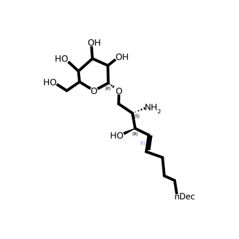 CCCCCCCCCCCCC/C=C/[C@@H](O)[C@@H](N)CO[C@@H]1OC(CO)C(O)C(O)C1O